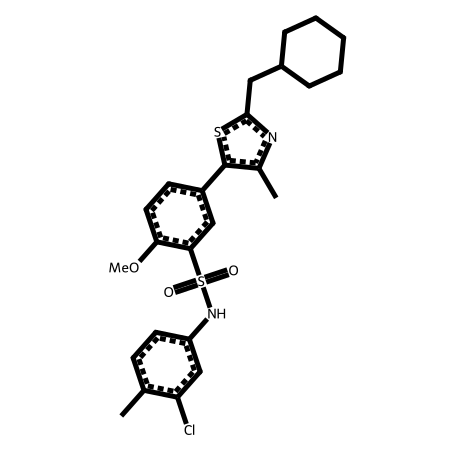 COc1ccc(-c2sc(CC3CCCCC3)nc2C)cc1S(=O)(=O)Nc1ccc(C)c(Cl)c1